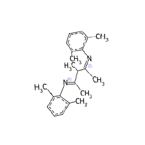 C/C(=N/c1c(C)cccc1C)C(C)/C(C)=N/c1c(C)cccc1C